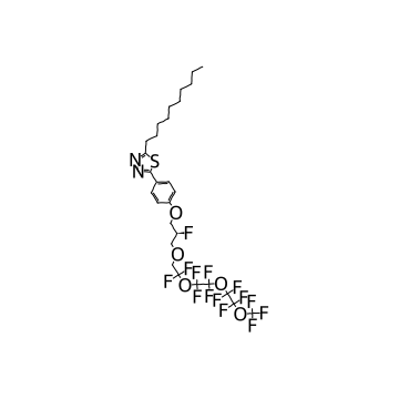 CCCCCCCCCCc1nnc(-c2ccc(OC[C@@H](F)COCC(F)(F)OC(F)(F)C(F)(F)OC(F)(F)C(F)(F)OC(F)(F)F)cc2)s1